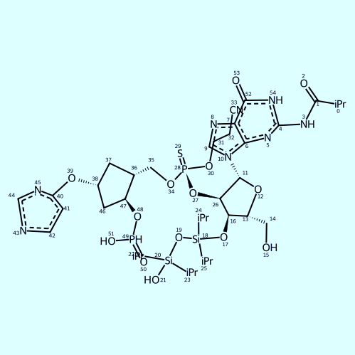 CC(C)C(=O)Nc1nc2c(ncn2[C@@H]2O[C@H](CO)[C@@H](O[Si](O[Si](O)(C(C)C)C(C)C)(C(C)C)C(C)C)[C@H]2O[P@@](=S)(OCCC#N)OC[C@H]2C[C@@H](Oc3ccncn3)C[C@@H]2O[PH](=O)O)c(=O)[nH]1